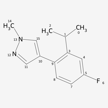 CC(C)c1cc(F)ccc1-c1cnn(C)c1